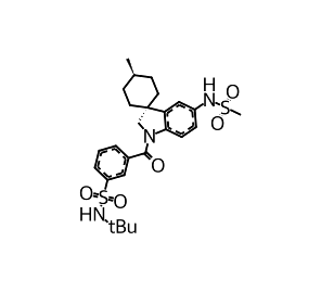 CC(C)(C)NS(=O)(=O)c1cccc(C(=O)N2C[C@]3(CC[C@H](C)CC3)c3cc(NS(C)(=O)=O)ccc32)c1